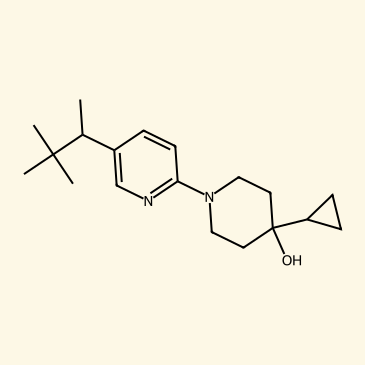 CC(c1ccc(N2CCC(O)(C3CC3)CC2)nc1)C(C)(C)C